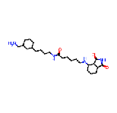 NCC1CCCC(CCCCNC(=O)CCCCCNC2CCCC3C(=O)NC(=O)C23)C1